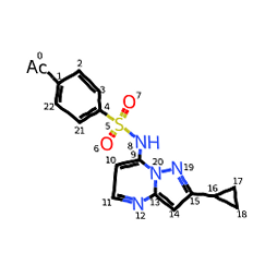 CC(=O)c1ccc(S(=O)(=O)Nc2ccnc3cc(C4CC4)nn23)cc1